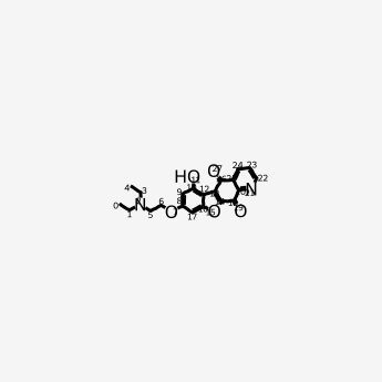 CCN(CC)CCOc1cc(O)c2c3c(oc2c1)C(=O)c1ncccc1C3=O